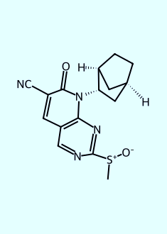 C[S+]([O-])c1ncc2cc(C#N)c(=O)n([C@H]3C[C@@H]4CC[C@H]3C4)c2n1